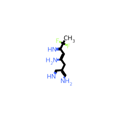 CC(F)(F)C(=N)/C=C(\N)C/C(C=N)=C/N